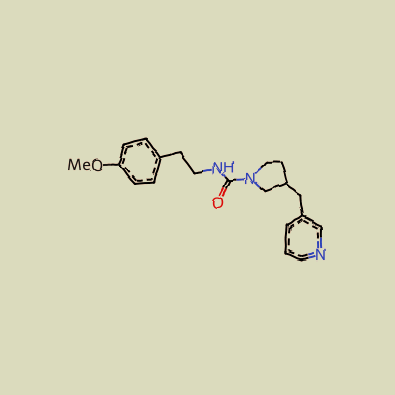 COc1ccc(CCNC(=O)N2CCC(Cc3cccnc3)C2)cc1